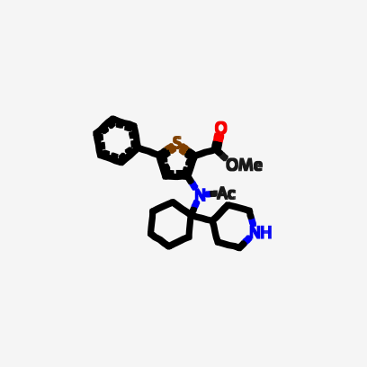 COC(=O)c1sc(-c2ccccc2)cc1N(C(C)=O)C1(C2CCNCC2)CCCCC1